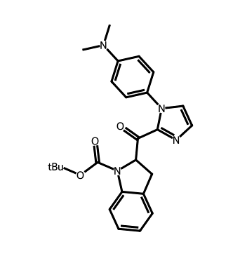 CN(C)c1ccc(-n2ccnc2C(=O)C2Cc3ccccc3N2C(=O)OC(C)(C)C)cc1